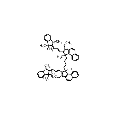 CC[N+]1=C(C=CC=C2N(C)c3ccccc3C2(C)C)C(C)(CCCCC2(C)C(C=CC=C3N(C)c4ccccc4C3(C)C)=[N+](CC)c3ccc4ccccc4c32)c2c1ccc1ccccc21